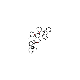 CC1C=CC2=C(C1)C1(c3ccccc3S2)c2cc(-c3ccccc3)ccc2Sc2c(-c3cccc4c5ccccc5n(-c5ccccc5)c34)cccc21